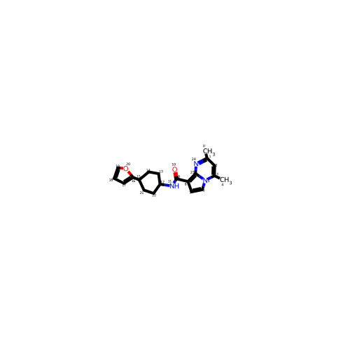 Cc1cc(C)n2ccc(C(=O)NC3CCC(c4ccco4)CC3)c2n1